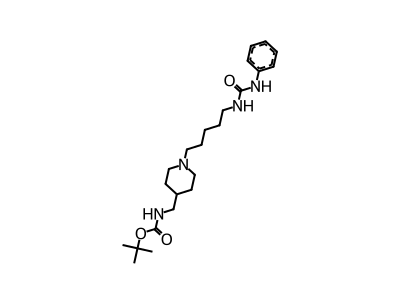 CC(C)(C)OC(=O)NCC1CCN(CCCCCNC(=O)Nc2ccccc2)CC1